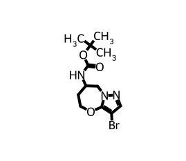 CC(C)(C)OC(=O)NC1CCOc2c(Br)cnn2C1